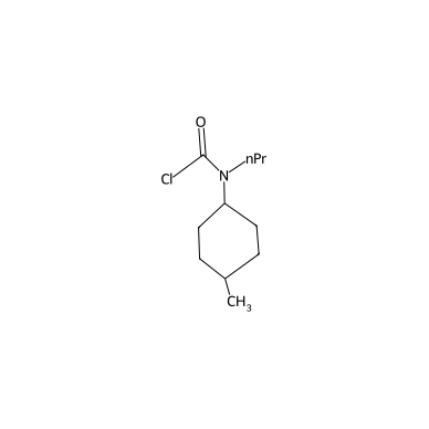 CCCN(C(=O)Cl)C1CCC(C)CC1